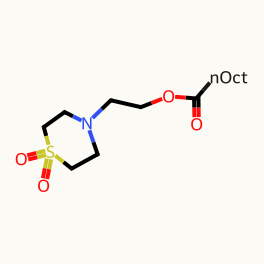 CCCCCCCCC(=O)OCCN1CCS(=O)(=O)CC1